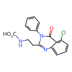 O=C(O)NCCc1nc2cccc(Cl)c2c(=O)n1-c1ccccc1